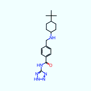 CC(C)(C)C1CCC(NCc2ccc(C(=O)Nc3nn[nH]n3)cc2)CC1